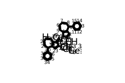 CC1=CC2=C(C=CC=CC2c2ccccc2)[CH]1[Zr+2]([CH3])([CH3])[CH]1C(C)=CC2=C1C=CC=CC2c1ccccc1.[Cl-].[Cl-].[Ge]